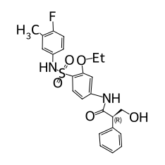 CCOc1cc(NC(=O)[C@@H](CO)c2ccccc2)ccc1S(=O)(=O)Nc1ccc(F)c(C)c1